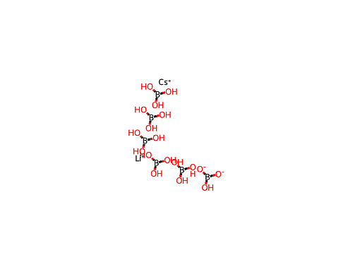 OB(O)O.OB(O)O.OB(O)O.OB(O)O.OB(O)O.[Cs+].[Li+].[O-]B([O-])O